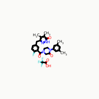 Cc1cc(C)cc(N2CCN(C(=O)c3cc(Cc4n[nH]c(=O)c(C)c4C)ccc3F)CC2=O)c1.O=C(O)C(F)(F)F